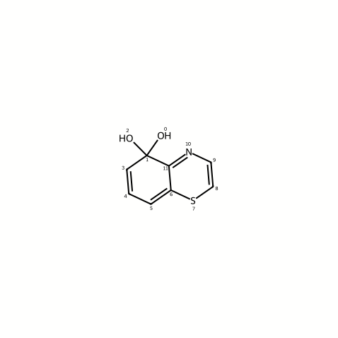 OC1(O)C=CC=C2SC=CN=C21